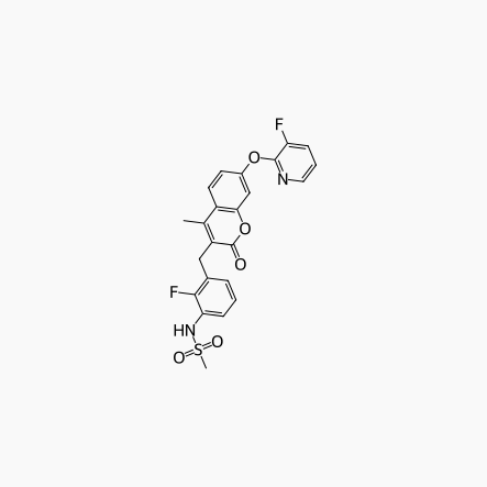 Cc1c(Cc2cccc(NS(C)(=O)=O)c2F)c(=O)oc2cc(Oc3ncccc3F)ccc12